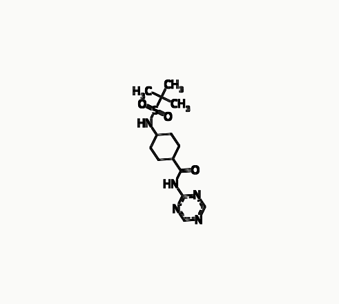 CC(C)(C)S(=O)(=O)NC1CCC(C(=O)Nc2ncncn2)CC1